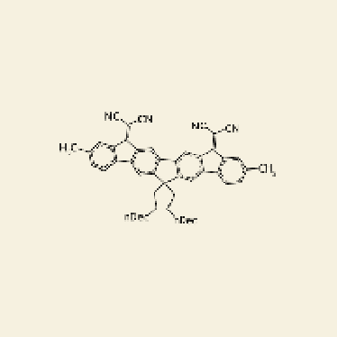 CCCCCCCCCCCCC1(CCCCCCCCCCCC)c2cc3c(cc2-c2cc4c(cc21)-c1ccc(C)cc1C4=C(C#N)C#N)C(=C(C#N)C#N)c1cc(C)ccc1-3